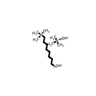 CCCCCCCCCCCCCCCCCC[N+](C)(C)C.CCCCCCCCCC[N+](C)(C)C